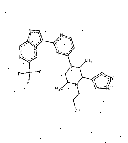 CC1C(c2cn[nH]c2)N(CCO)C(C)CN1c1ccnc(-c2cnc3cnc(C(F)(F)F)cn23)n1